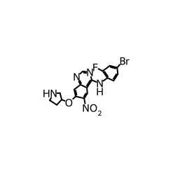 O=[N+]([O-])c1cc2c(Nc3ccc(Br)cc3F)ncnc2cc1OC1CCNC1